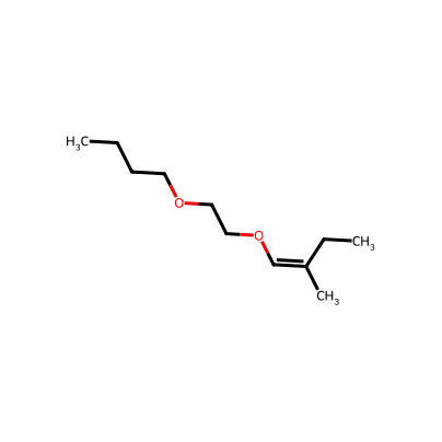 CCCCOCCOC=C(C)CC